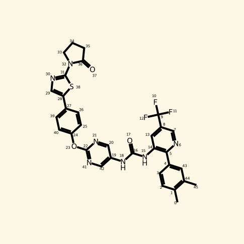 Cc1ccc(-c2ncc(C(F)(F)F)cc2NC(=O)Nc2cnc(Oc3ccc(-c4cnc(N5CCCC5=O)s4)cc3)nc2)cc1C